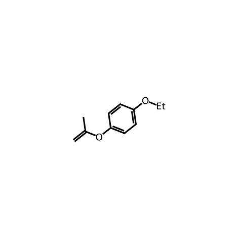 C=C(C)Oc1ccc(OCC)cc1